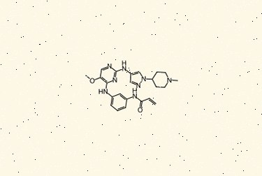 C=CC(=O)Nc1cccc(Nc2nc(Nc3cnn(C4CCN(C)CC4)c3)ncc2OC)c1